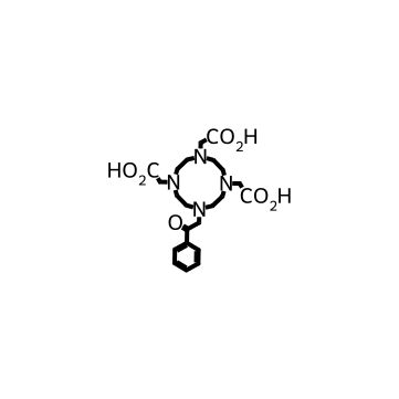 O=C(O)CN1CCN(CC(=O)O)CCN(CC(=O)c2ccccc2)CCN(CC(=O)O)CC1